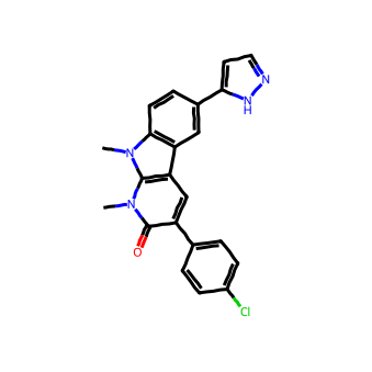 Cn1c(=O)c(-c2ccc(Cl)cc2)cc2c3cc(-c4ccn[nH]4)ccc3n(C)c21